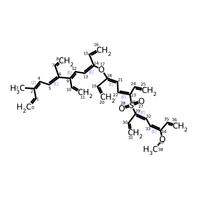 C=C\C(C)=C/C=C(C=C)/C(C=C)=C/C=C(\C=C)O/C(C=C)=C/C=C(\C=C)S(=O)(=O)/C(C=C)=C/C=C(\C=C)OC